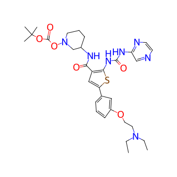 CCN(CC)CCOc1cccc(-c2cc(C(=O)NC3CCCN(OC(=O)OC(C)(C)C)C3)c(NC(=O)Nc3cnccn3)s2)c1